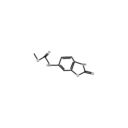 COC(=O)Nc1ccc2[nH]c(=O)oc2c1